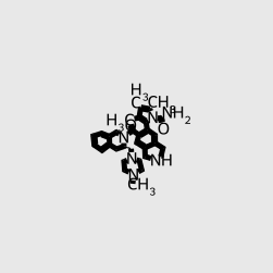 Cc1c(C)c(-c2cc3c(cc2C(=O)N2Cc4ccccc4C[C@H]2CN2CCN(C)CC2)CNCC3)n(C(N)=O)c1C